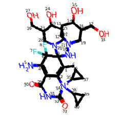 CC1=C2C(=C(N)C(F)(F)C1(NN1CCC(O)C(CO)C1)N1CCC(O)C(CO)C1)C(=O)NC(=O)[N+]2(C1CC1)C1CC1